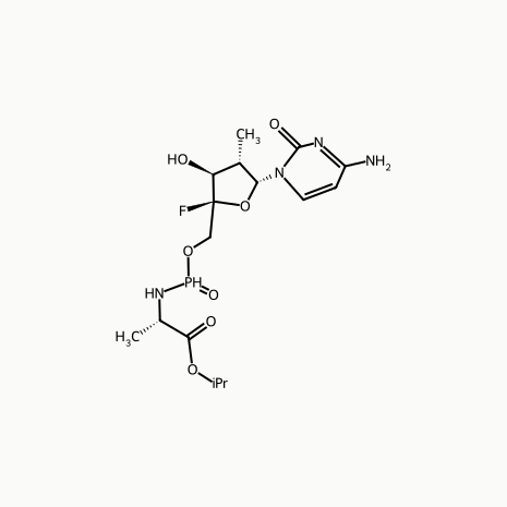 CC(C)OC(=O)[C@H](C)N[PH](=O)OC[C@@]1(F)O[C@@H](n2ccc(N)nc2=O)[C@@H](C)[C@@H]1O